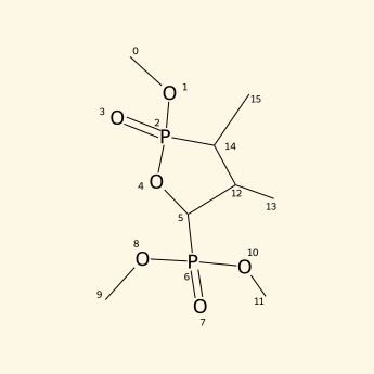 COP1(=O)OC(P(=O)(OC)OC)C(C)C1C